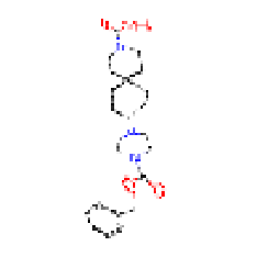 O=C(O)N1CCC2(CCC(N3CCN(C(=O)OCc4ccccc4)CC3)CC2)CC1